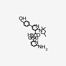 CC1CN(c2ncc(-c3ccc(CO)cc3)cc2C(=O)NS(=O)(=O)c2cccc(N)n2)C(C)(C)C1